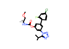 COC[C@@H](C)NC(=O)Oc1cc(-c2ccc(Cl)cc2F)cc(-n2nnnc2C(C)C)c1